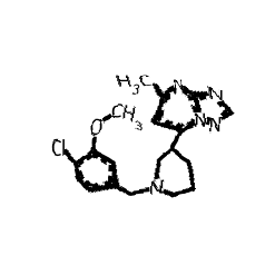 COc1cc(CN2CCCC(c3cc(C)nc4ncnn34)C2)ccc1Cl